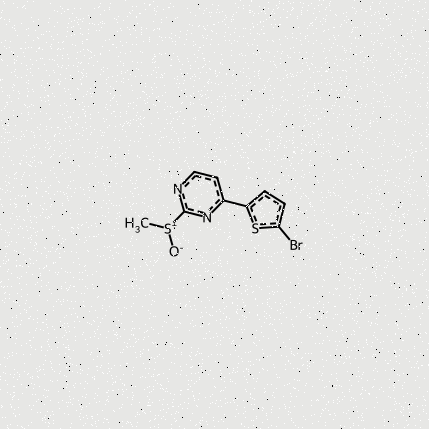 C[S+]([O-])c1nccc(-c2ccc(Br)s2)n1